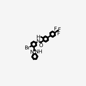 Cc1cc(-c2ccc(C(F)(F)F)cc2)ccc1C(=O)Nc1ccc(Br)c(-c2nc3ccccc3[nH]2)c1